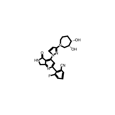 N#Cc1cccc(F)c1-c1cc(-n2ccc(N3CCC[C@H](O)[C@H](O)C3)n2)c2c(n1)CNC2=O